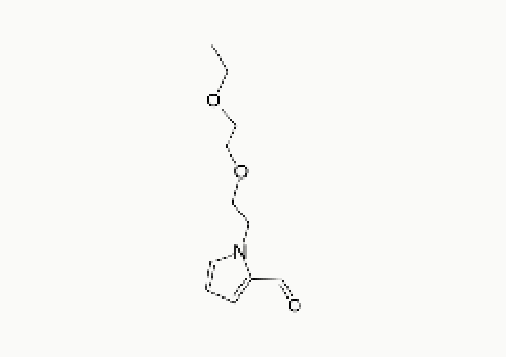 CCOCCOCCn1cccc1C=O